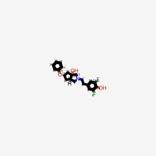 Oc1c(F)cc(CCN2C[C@H]3C[C@H](Oc4ccccc4)C[C@@]3(O)C2)cc1F